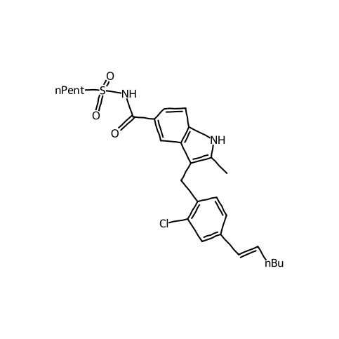 CCCCC=Cc1ccc(Cc2c(C)[nH]c3ccc(C(=O)NS(=O)(=O)CCCCC)cc23)c(Cl)c1